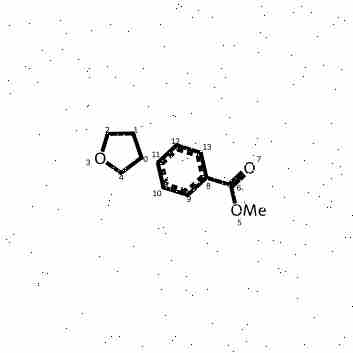 C1CCOC1.COC(=O)c1ccccc1